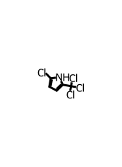 Clc1ccc(C(Cl)(Cl)Cl)[nH]1